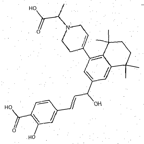 CC(C(=O)O)N1CC=C(c2cc(C(O)/C=C/c3ccc(C(=O)O)c(O)c3)cc3c2C(C)(C)CCC3(C)C)CC1